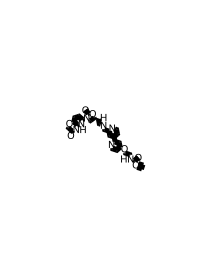 CC(C)(C)OC(=O)NCCOc1ccnc(-c2ccnc(CNCC[C@H]3CN(c4ccc5c(n4)NC(=O)CO5)C(=O)O3)c2)c1